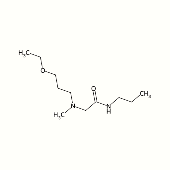 CCCNC(=O)CN(C)CCCOCC